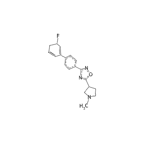 CN1CCC(c2nc(-c3ccc(C4=CC(F)CC=C4)cc3)no2)C1